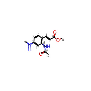 CNc1ccc(C=CC(=O)OC)c(NC(C)=O)c1